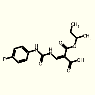 CCC(C)OC(=O)C(=CNC(=O)Nc1ccc(F)cc1)C(=O)O